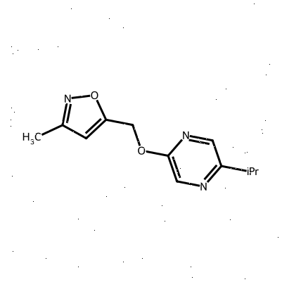 Cc1cc(COc2cnc(C(C)C)cn2)on1